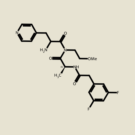 COCCN(C(=O)C(N)Cc1ccncc1)C(=O)[C@H](C)NC(=O)Cc1cc(F)cc(F)c1